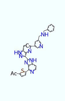 CC(=O)c1ccc(-c2nccc3[nH]c(-c4n[nH]c5ccc(-c6cncc(CNCc7ccccc7)c6)nc45)nc23)s1